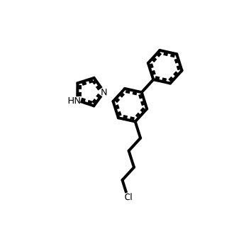 ClCCCCc1cccc(-c2ccccc2)c1.c1c[nH]cn1